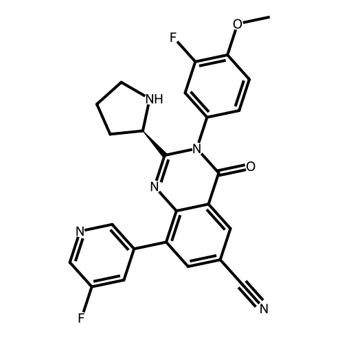 COc1ccc(-n2c([C@H]3CCCN3)nc3c(-c4cncc(F)c4)cc(C#N)cc3c2=O)cc1F